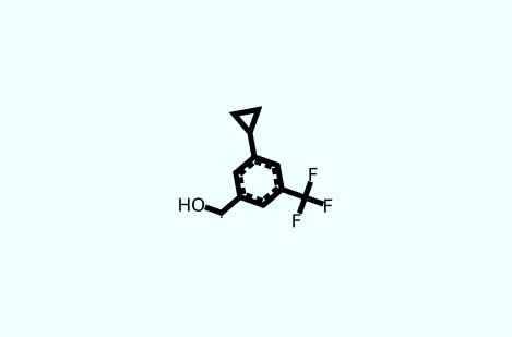 O[CH]c1cc(C2CC2)cc(C(F)(F)F)c1